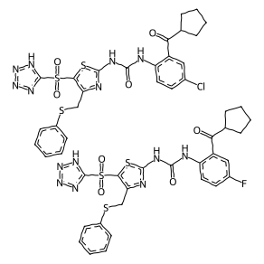 O=C(Nc1nc(CSc2ccccc2)c(S(=O)(=O)c2nnn[nH]2)s1)Nc1ccc(Cl)cc1C(=O)C1CCCC1.O=C(Nc1nc(CSc2ccccc2)c(S(=O)(=O)c2nnn[nH]2)s1)Nc1ccc(F)cc1C(=O)C1CCCC1